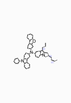 C=C/C=c1c2n(c3ccc(N(c4ccc5c(c4)oc4ccccc45)c4ccc5c(c4)c4ccccc4n5-c4ccccc4)cc\13)C/C(=C\C=C/C)C=2